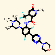 CC1CN(c2cc(F)c(-c3cnc(N4CCOCC4)nc3)c(F)c2NC(=O)c2cn(C)c(=O)cc2C(F)(F)F)CC(C)N1C